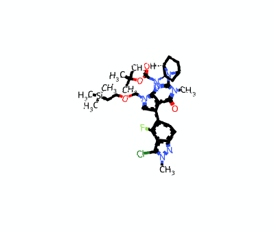 Cn1nc2ccc(-c3cn(COCC[Si](C)(C)C)c4nc(N5C6CC[C@@H]5[C@H](NC(=O)OC(C)(C)C)C6)n(C)c(=O)c34)c(F)c2c1Cl